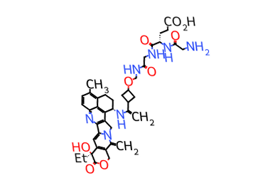 C=C(N[C@H]1CCc2c(C)ccc3nc4c(c1c23)CN1C(=C)C2=C(C=C41)[C@@](O)(CC)C(=O)OC2)C1CC(OCNC(=O)CNC(=O)[C@H](CCC(=O)O)NC(=O)CN)C1